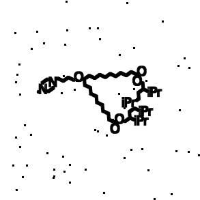 CC(C)CCC(COC(=O)CCCCCCCCCC(CCCCCCCCCC(=O)OCC(CCC(C)C)C(C)C)OCCCCN1CCN(C)CC1)C(C)C